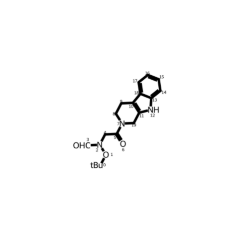 CC(C)(C)ON(C=O)CC(=O)N1CCc2c([nH]c3ccccc23)C1